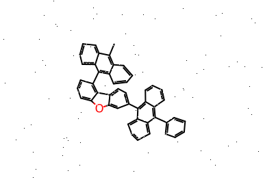 Cc1c2ccccc2c(-c2cccc3oc4cc(-c5c6ccccc6c(-c6ccccc6)c6ccccc56)ccc4c23)c2ccccc12